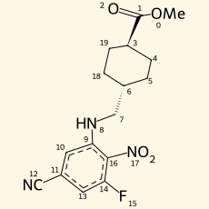 COC(=O)[C@H]1CC[C@H](CNc2cc(C#N)cc(F)c2[N+](=O)[O-])CC1